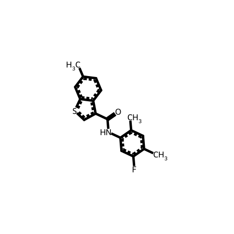 Cc1ccc2c(C(=O)Nc3cc(F)c(C)cc3C)csc2c1